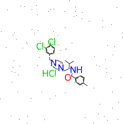 Cc1ccc(C(=O)NC(CN2CCN(Cc3ccc(Cl)c(Cl)c3)CC2)C(C)C)cc1.Cl